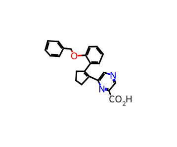 O=C(O)c1cncc(C2=C(c3ccccc3OCc3ccccc3)CCC2)n1